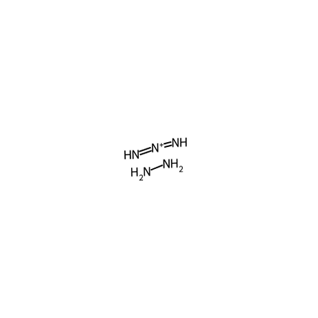 N=[N+]=N.NN